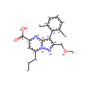 CCCc1cc(C(=O)O)nc2c(-c3c(C)cccc3C)c(COC)nn12